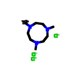 CN1CCN(C)CC[N]([Ti+3])CC1.[Cl-].[Cl-].[Cl-]